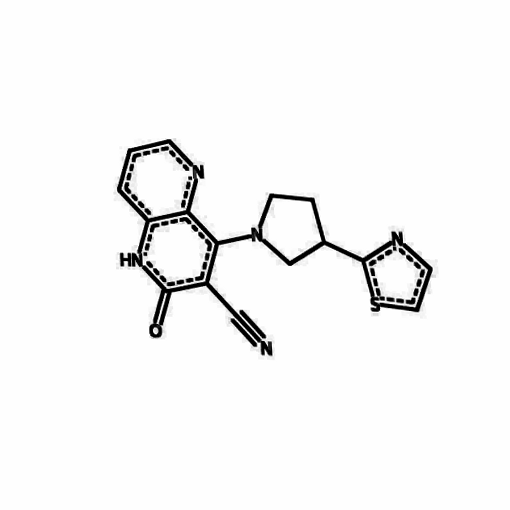 N#Cc1c(N2CCC(c3nccs3)C2)c2ncccc2[nH]c1=O